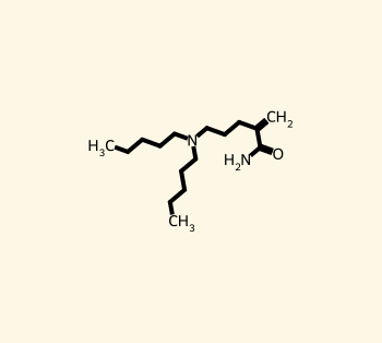 C=C(CCCN(CCCCC)CCCCC)C(N)=O